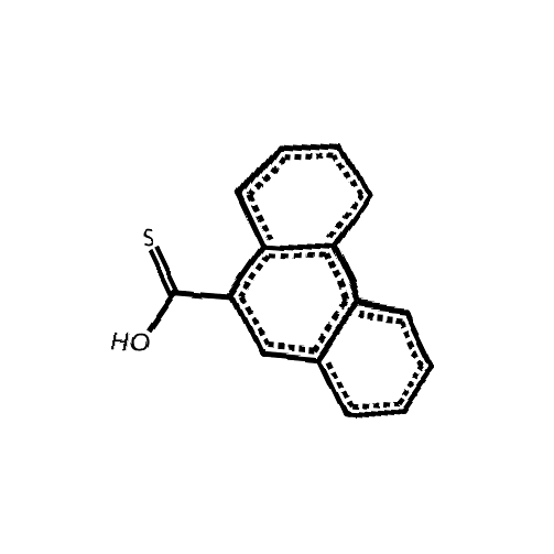 OC(=S)c1cc2ccccc2c2ccccc12